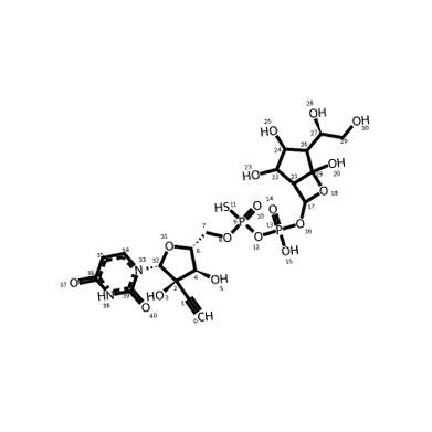 C#C[C@@]1(O)[C@H](O)[C@@H](COP(=O)(S)OP(=O)(O)OC2OC3(O)C2C(O)C(O)C3[C@@H](O)CO)O[C@H]1n1ccc(=O)[nH]c1=O